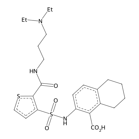 CCN(CC)CCCNC(=O)c1sccc1S(=O)(=O)Nc1ccc2c(c1C(=O)O)CCCC2